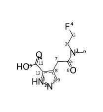 CN(CCF)C(=O)Cc1cn[nH]c1C(=O)O